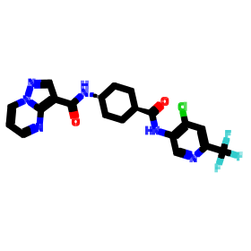 O=C(N[C@H]1CC[C@H](C(=O)Nc2cnc(C(F)(F)F)cc2Cl)CC1)c1cnn2cccnc12